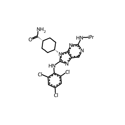 CC(C)Nc1ncc2nc(Nc3c(Cl)cc(Cl)cc3Cl)n([C@H]3CC[C@@H](C(N)=O)CC3)c2n1